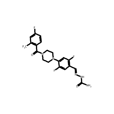 NC(=S)N/N=C/c1cc(F)c(N2CCN(C(=O)c3ccc(F)cc3C(F)(F)F)CC2)cc1F